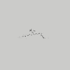 CC(C)(C)OC(=O)NCCCN(CCCCN(CCCN)C(=O)O)C(=O)OC(C)(C)C